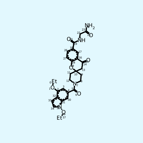 CCOc1cc(C(=O)N2CCC3(CC2)CC(=O)c2cc(C(=O)NCC(N)=O)ccc2O3)cc2c1ccn2OCC